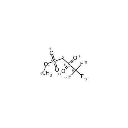 COS(=O)(=O)CS(=O)(=O)C(F)(F)F